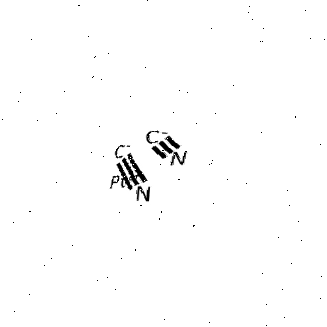 [C-]#N.[C-]#N.[Pt+2]